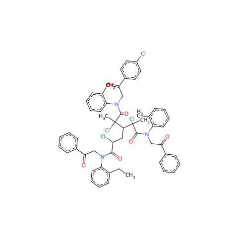 CCc1ccccc1N(CC(=O)c1ccccc1)C(=O)C(Cl)CC(C(C)(Cl)C(=O)N(CC(=O)c1ccccc1)c1ccccc1C)C(C)(Cl)C(=O)N(CC(=O)c1ccc(Cl)cc1)c1ccccc1C